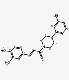 CCc1cccc(C2CCN(C(=O)/C=C/c3ccc(O)c(O)c3)CC2)c1